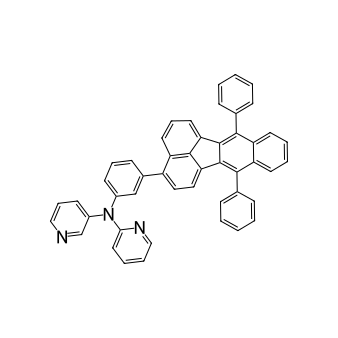 c1ccc(-c2c3c(c(-c4ccccc4)c4ccccc24)-c2ccc(-c4cccc(N(c5cccnc5)c5ccccn5)c4)c4cccc-3c24)cc1